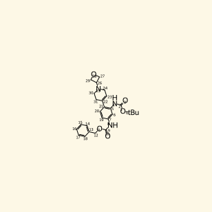 CC(C)(C)OC(=O)Nc1cc(NC(=O)OCc2ccccc2)ccc1C1=CCN(C2COC2)CC1